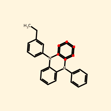 CCc1cccc(N(c2ccccc2)c2ccccc2N(c2ccccc2)c2ccccc2)c1